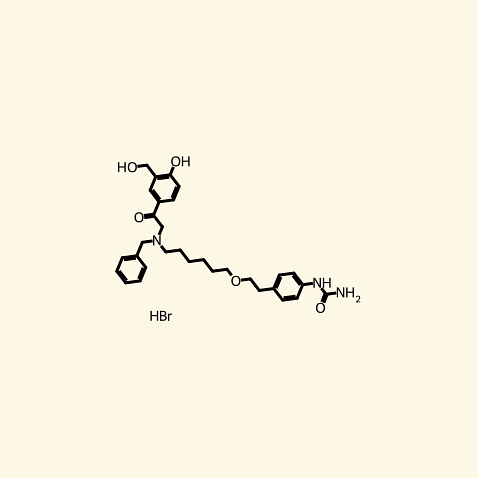 Br.NC(=O)Nc1ccc(CCOCCCCCCN(CC(=O)c2ccc(O)c(CO)c2)Cc2ccccc2)cc1